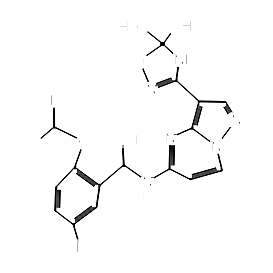 CC(Nc1ccn2ncc(C3=NOC(C)(C)N3)c2n1)c1cc(F)ccc1OC(F)F